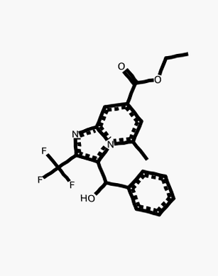 CCOC(=O)c1cc(C)n2c(C(O)c3ccccc3)c(C(F)(F)F)nc2c1